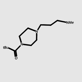 CNCCCN1CCN(C(=O)C(C)(C)C)CC1